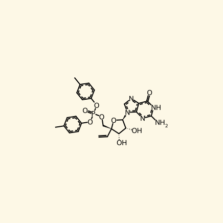 C=C[C@]1(COP(=O)(Oc2ccc(C)cc2)Oc2ccc(C)cc2)O[C@@H](n2cnc3c(=O)[nH]c(N)nc32)[C@H](O)[C@@H]1O